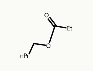 [CH2]CC(=O)OCCCC